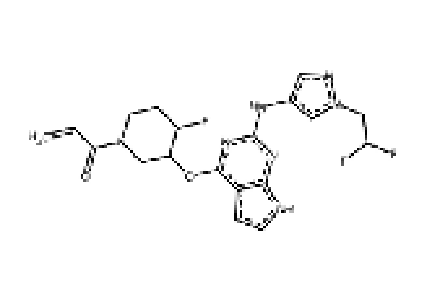 C=CC(=O)N1CCC(F)C(Oc2nc(Nc3cnn(CC(F)F)c3)nc3[nH]ccc23)C1